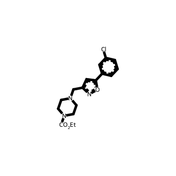 CCOC(=O)N1CCN(Cc2cc(-c3cccc(Cl)c3)on2)CC1